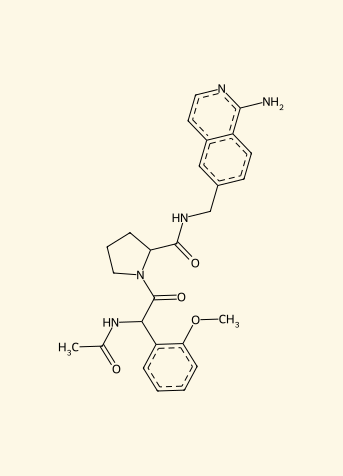 COc1ccccc1C(NC(C)=O)C(=O)N1CCCC1C(=O)NCc1ccc2c(N)nccc2c1